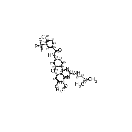 COn1c(=O)ccc2c(-c3ccc(NC(=O)c4ccc(Cl)c(C(F)(F)F)c4)cc3Cl)nc(NCCN(C)C)nc21